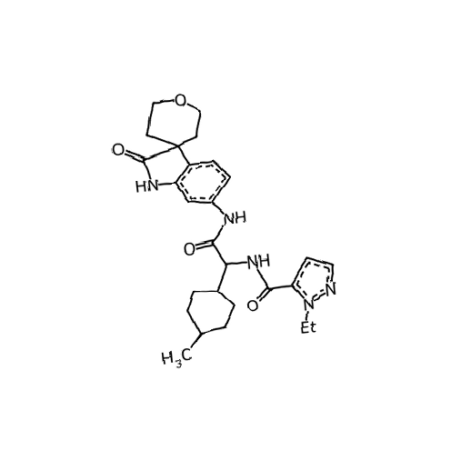 CCn1nccc1C(=O)NC(C(=O)Nc1ccc2c(c1)NC(=O)C21CCOCC1)C1CCC(C)CC1